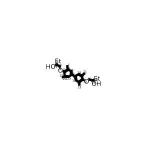 CCC(O)COc1c(C)cc(-c2cc(C)c(OCC(O)CC)c(C)c2)cc1C